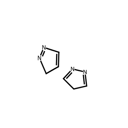 C1=CN=NC1.C1=NN=CC1